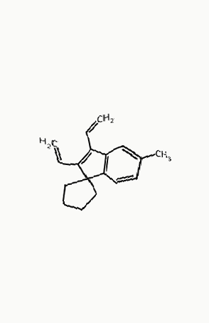 C=CC1=C(C=C)C2(CCCC2)c2ccc(C)cc21